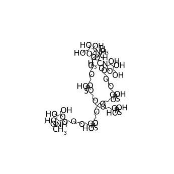 CC(=O)NC1C(OCCOCCOCCCOP(O)(=S)OCCCOCC(COCCCOP(O)(O)=S)(COCCCOP(O)(=S)OCCOCCOCCOC2OC(CO)C(O)C(O)C2NC(C)=O)COCCCOP(O)(=S)OCCOCCOCCOC2OC(CO)C(O)C(O)C2NC(C)=O)OC(CO)C(O)C1O